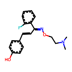 CN(C)CCO/N=C(\C=Cc1ccc(O)cc1)c1ccccc1F